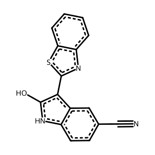 N#Cc1ccc2[nH]c(O)c(-c3nc4ccccc4s3)c2c1